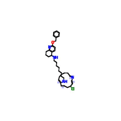 ClC1/C=C/N=C/CCCC/C=C(NCCCCCCCCNC2CCCc3nc(OCc4ccccc4)ccc32)/C=C/C1